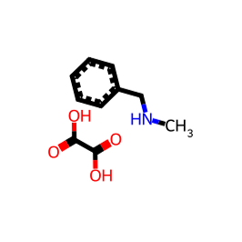 CNCc1ccccc1.O=C(O)C(=O)O